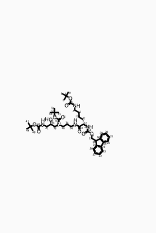 CC(C)(C)OC(=O)NCCCC[C@H](NC(=O)OCC1c2ccccc2-c2ccccc21)C(=O)NCCCN(C[C@H](O)CNC(=O)OC(C)(C)C)C(=O)OC(C)(C)C